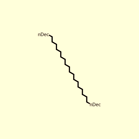 CCCCCCCCCCCCCCCCCCCCCCCCCCCCCCCCCCCCCC